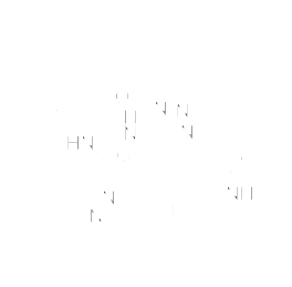 CC(c1cc(F)c[nH]c1=O)n1cc(NC(=O)C(NC(=O)c2ccnn2C(C)C)C(C2CC2)C2CC2)nn1